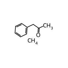 C.CC(=O)Cc1ccccc1